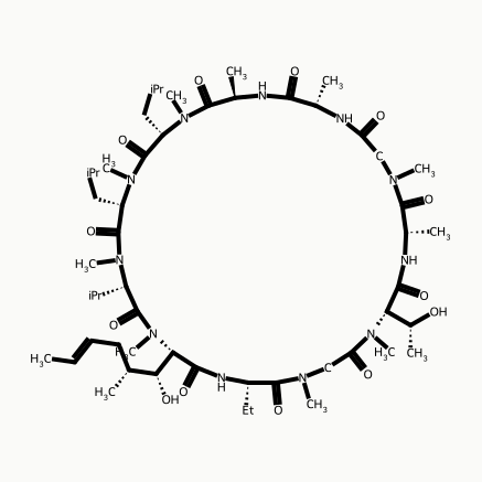 C/C=C/C[C@@H](C)[C@@H](O)[C@H]1C(=O)N[C@@H](CC)C(=O)N(C)CC(=O)N(C)[C@@H]([C@@H](C)O)C(=O)N[C@@H](C)C(=O)N(C)CC(=O)N[C@@H](C)C(=O)N[C@H](C)C(=O)N(C)[C@@H](CC(C)C)C(=O)N(C)[C@@H](CC(C)C)C(=O)N(C)[C@@H](C(C)C)C(=O)N1C